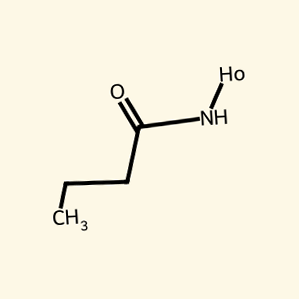 CCCC(=O)[NH][Ho]